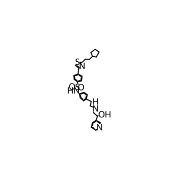 O=S(=O)(Nc1ccc(CCNCC(O)c2cccnc2)cc1)c1ccc(-c2csc(CCC3CCCC3)n2)cc1